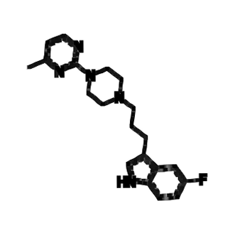 Cc1ccnc(N2CCN(CCCc3c[nH]c4ccc(F)cc34)CC2)n1